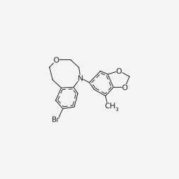 Cc1cc(N2CCOCCc3cc(Br)ccc32)cc2c1OCO2